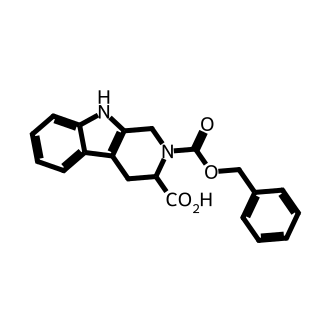 O=C(O)C1Cc2c([nH]c3ccccc23)CN1C(=O)OCc1ccccc1